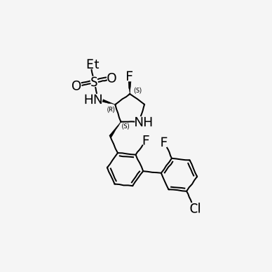 CCS(=O)(=O)N[C@@H]1[C@H](Cc2cccc(-c3cc(Cl)ccc3F)c2F)NC[C@@H]1F